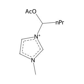 CCCC(OC(C)=O)[n+]1ccn(C)c1